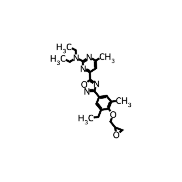 CCc1cc(-c2noc(-c3cc(C)nc(N(CC)CC)n3)n2)cc(C)c1OCC1CO1